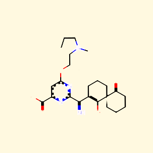 C[C@H](Oc1cc(C(=O)O)nc(C(=N)C2=C(O)[C@]3(CCCCC3=O)CCC2)n1)[C@@H]1CCCN1C